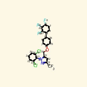 Fc1ccc(-c2ccc(OCc3cc(C(F)(F)F)nn3-c3c(Cl)cccc3Cl)cc2)c(F)c1F